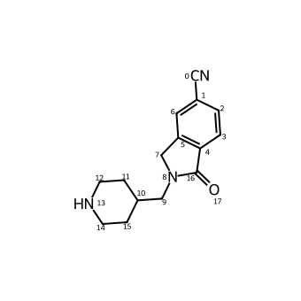 N#Cc1ccc2c(c1)CN(CC1CCNCC1)C2=O